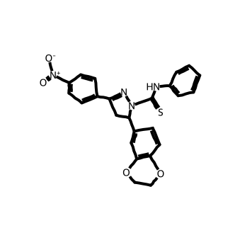 O=[N+]([O-])c1ccc(C2=NN(C(=S)Nc3ccccc3)C(c3ccc4c(c3)OCCO4)C2)cc1